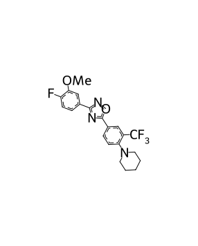 COc1cc(-c2noc(-c3ccc(N4CCCCC4)c(C(F)(F)F)c3)n2)ccc1F